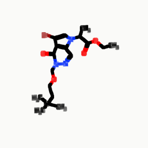 CCOC(=O)C(C)n1cc(Br)c2c(=O)n(COCC[Si](C)(C)C)ncc21